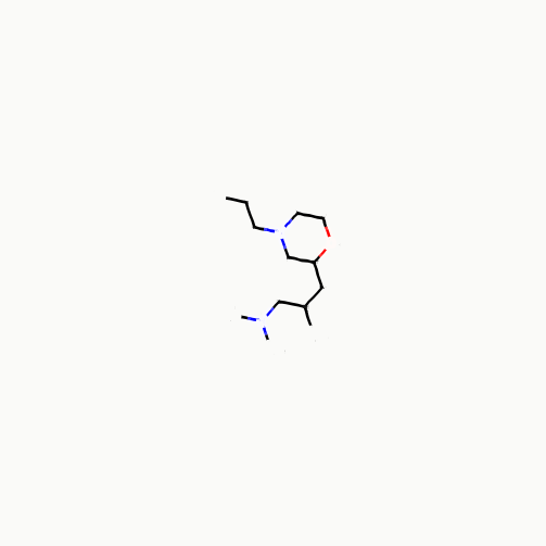 CCCN1CCOC(CC(C)CN(C)C)C1